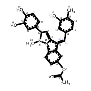 CC(=O)Oc1ccc2c(c1)/c(=C/c1ccc(C)c(O)c1)c1n2N(C)C(c2ccc(O)c(O)c2)C=1